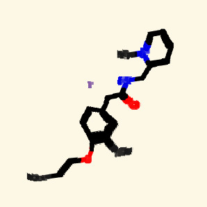 CCCCCCCCCCCCOc1ccc(CC(=O)NCc2cccc[n+]2CCC)cc1C(C)(C)C.[I-]